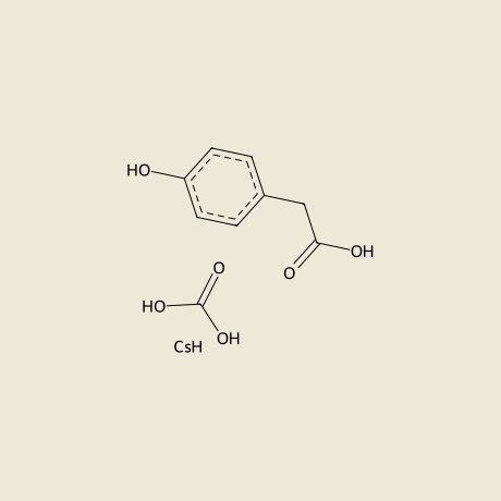 O=C(O)Cc1ccc(O)cc1.O=C(O)O.[CsH]